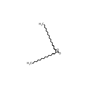 CCCCCCCCCCCCC=CC=C1OC(=O)C1C=CCCCCCCCCCCCC